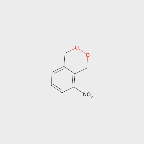 O=[N+]([O-])c1cccc2c1COOC2